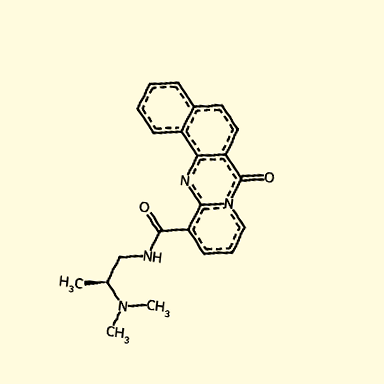 C[C@@H](CNC(=O)c1cccn2c(=O)c3ccc4ccccc4c3nc12)N(C)C